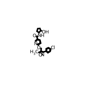 Cc1onc(-c2ccc(Cl)cc2)c1COc1ccc(C(=O)NC2CCCC2O)cn1